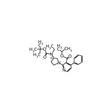 CCN(C(=O)OC(C)(C)C)[C@@H]1CCN(c2nccc(-c3ccccc3)c2C(=O)OC(C)C)C1